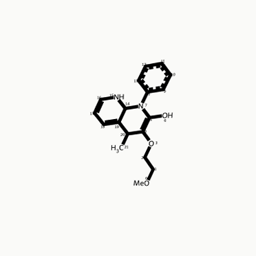 COCCOC1=C(O)N(c2ccccc2)C2NC=CC=C2C1C